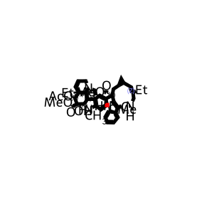 CC/C1=C/C2CC2C[C@](C(=O)OC)(c2cc3c(cc2OC)N(C)[C@H]2C(O)(C(=O)OC)[C@H](OC(C)=O)[C@]4(CC)C=CCN5CC[C@]32[C@@H]54)c2[nH]c3ccccc3c2CNC1